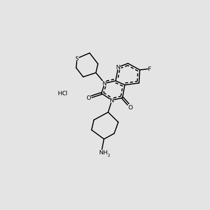 Cl.NC1CCC(n2c(=O)c3cc(F)cnc3n(C3CCSCC3)c2=O)CC1